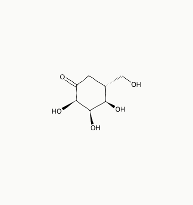 O=C1C[C@H](CO)[C@@H](O)[C@@H](O)[C@H]1O